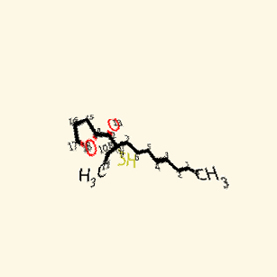 CCCCCCCC[C@@](S)(CC)C(=O)C1CCCO1